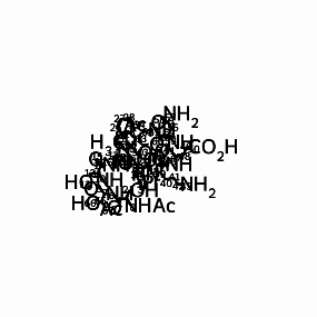 CC(=O)NC(CO)C(=O)NC(C(=O)NC(CO)C(=O)NCC(=O)N(C)C(Cc1ccccc1)C(=O)NC(CC(C)C)C(=O)NC(CCCN)C(=O)NC(CCC(=O)O)C(=O)NC(CC(N)=O)C(=O)NC(C)C(C)=O)C(O)C(C)=O